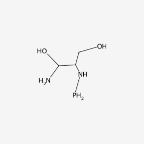 NC(O)C(CO)NP